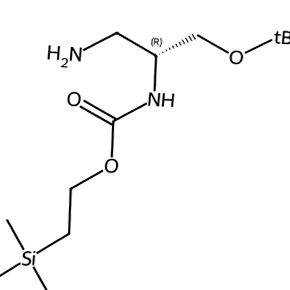 CC(C)(C)OC[C@@H](CN)NC(=O)OCC[Si](C)(C)C